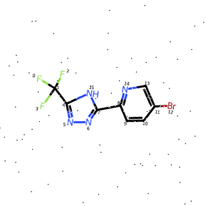 FC(F)(F)c1nnc(-c2ccc(Br)cn2)[nH]1